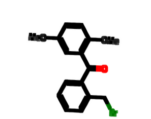 COc1ccc(OC)c(C(=O)c2ccccc2CBr)c1